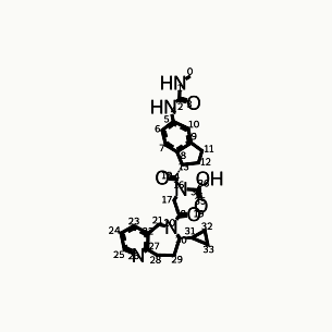 CNC(=O)Nc1ccc2c(c1)CC[C@@H]2C(=O)N(CC(=O)N1Cc2cccnc2CC[C@@H]1C1CC1)C(=O)O